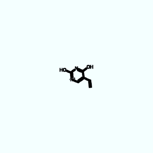 C=CC1=C[N+]=C(O)N=C1O